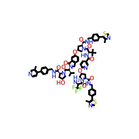 Cc1cnccc1-c1ccc(CNC(=O)[C@@H]2C[C@@H](O)CN2C(=O)[C@H](C(C)C)N2Cc3ccc(O[C@@H]4C[C@@H](C(=O)NCc5ccc(-c6scnc6C)cc5)N(C(=O)[C@@H](NC(=O)c5ccc(O[C@@H]6C[C@@H](C(=O)NCc7ccc(-c8scnc8C)cc7)N(C(=O)C(N)C(F)(F)F)C6)nc5)C(C)(C)C)C4)cc3C2=O)cc1